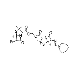 CC1(C)S[C@@H]2[C@H](Br)C(=O)N2[C@H]1C(=O)OCOC(=O)[C@@H]1N2C(=O)[C@@H](N=CN3CCCCCC3)[C@H]2SC1(C)C